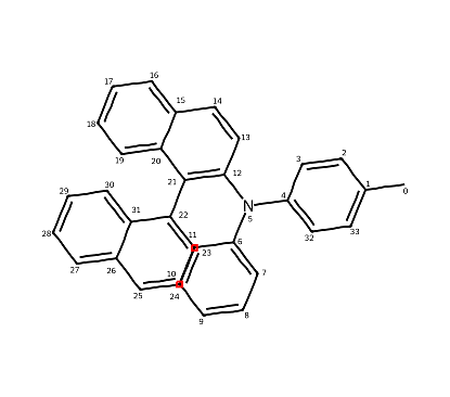 Cc1ccc(N(c2ccccc2)c2ccc3ccccc3c2-c2cccc3ccccc23)cc1